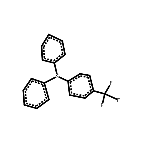 FC(F)(F)c1ccc([S+](c2ccccc2)c2ccccc2)cc1